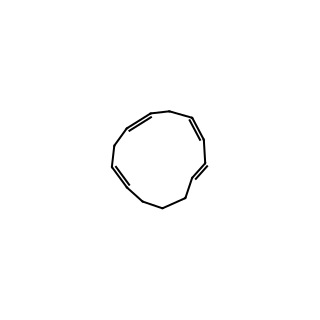 C1=C\C/C=C\C/C=C\CCC/C=C/1